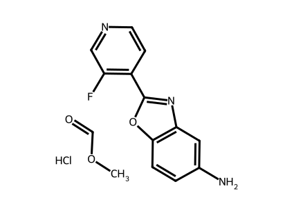 COC=O.Cl.Nc1ccc2oc(-c3ccncc3F)nc2c1